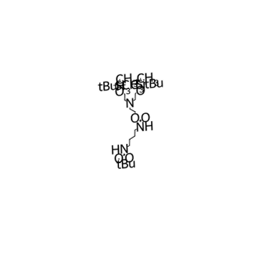 CC(C)(C)OC(=O)NCCCCNC(=O)OCCN(CCO[Si](C)(C)C(C)(C)C)CCO[Si](C)(C)C(C)(C)C